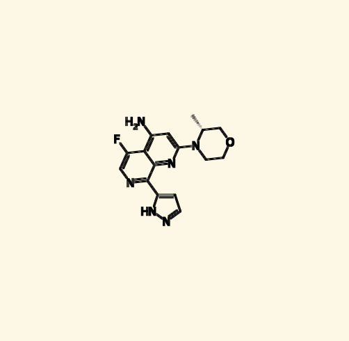 C[C@@H]1COCCN1c1cc(N)c2c(F)cnc(-c3ccn[nH]3)c2n1